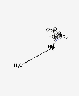 B[C@@H]1O[C@H](COC(=O)OCc2ccccc2)C(OP(O)(=S)OC)[C@@H]1C/C=C/CCCCNC(=O)C#CC#CC#CC#CC#CC#CC#CC#CC#CC#CC